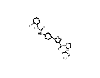 COC(=O)[C@H]1CCCN1C(=O)c1cc(-c2ccc(NC(=O)Nc3ccccc3F)cc2)no1